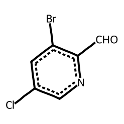 O=Cc1ncc(Cl)cc1Br